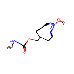 CCON1CCC(COC(=O)NC(C)(C)C)CC1